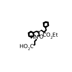 CCOC(=O)[C@@H](Cc1ccccc1)C[C@H](Cc1ccccc1)C(=O)NCCCC(=O)O